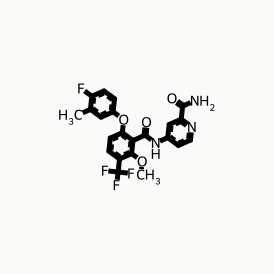 COc1c(C(F)(F)F)ccc(Oc2ccc(F)c(C)c2)c1C(=O)Nc1ccnc(C(N)=O)c1